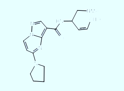 CNCC(/C=C\C=O)NC(=O)c1cnn2ccc(N3CCCC3)nc12